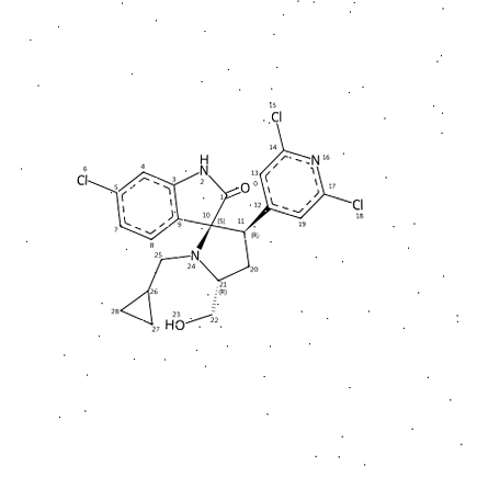 O=C1Nc2cc(Cl)ccc2[C@@]12[C@@H](c1cc(Cl)nc(Cl)c1)C[C@H](CO)N2CC1CC1